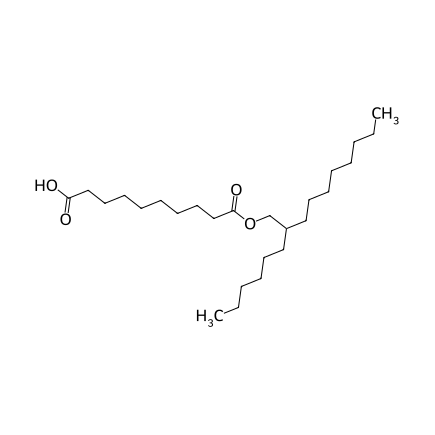 CCCCCCCCC(CCCCCC)COC(=O)CCCCCCCCC(=O)O